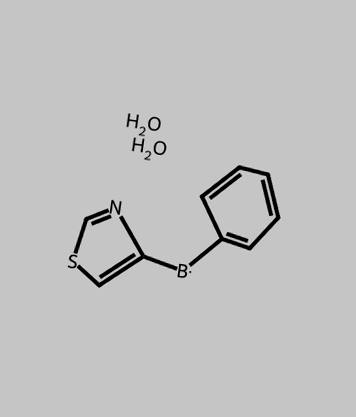 O.O.[B](c1ccccc1)c1cscn1